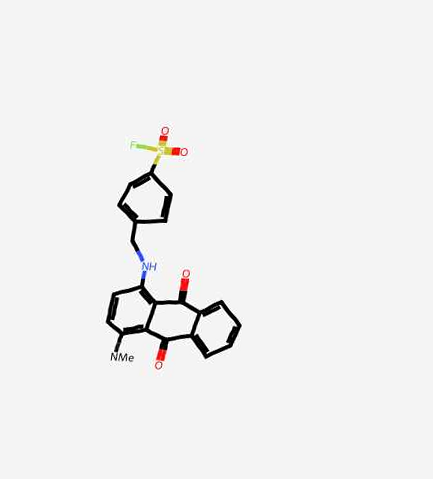 CNc1ccc(NCc2ccc(S(=O)(=O)F)cc2)c2c1C(=O)c1ccccc1C2=O